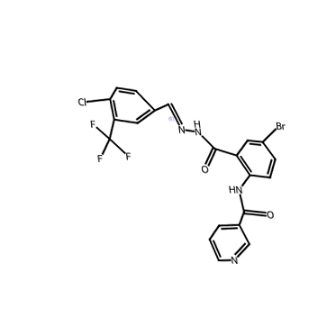 O=C(Nc1ccc(Br)cc1C(=O)N/N=C/c1ccc(Cl)c(C(F)(F)F)c1)c1cccnc1